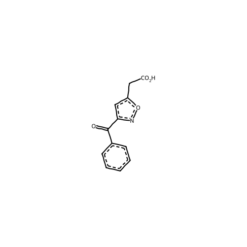 O=C(O)Cc1cc(C(=O)c2ccccc2)no1